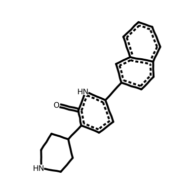 O=c1[nH]c(-c2ccc3ccccc3c2)ccc1C1CCNCC1